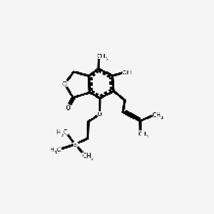 CC(C)=CCc1c(O)c(C)c2c(c1OCC[Si](C)(C)C)C(=O)OC2